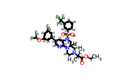 CCOC(=O)C(C)(C)N1CCN2c3ncc(-c4cc(F)cc(OC(F)F)c4)cc3N(S(=O)(=O)c3cccc(C(F)(F)F)c3)C[C@@H]2C1